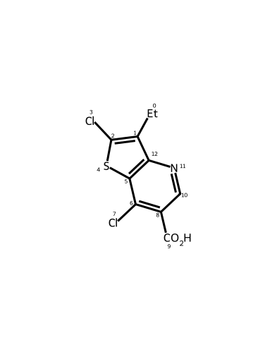 CCc1c(Cl)sc2c(Cl)c(C(=O)O)cnc12